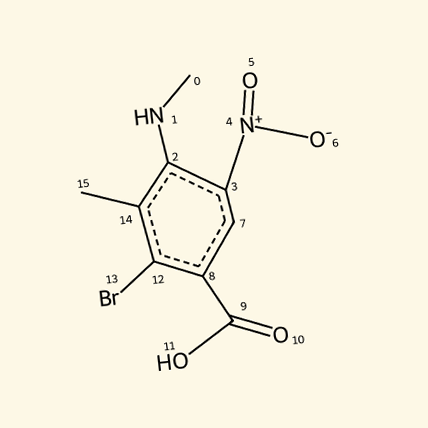 CNc1c([N+](=O)[O-])cc(C(=O)O)c(Br)c1C